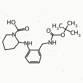 CC(C)(C)OC(=O)NCc1ccccc1NC1CCCCN1C(=O)O